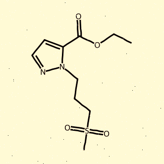 CCOC(=O)c1ccnn1CCCS(C)(=O)=O